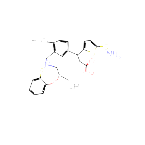 CCC1CN(Cc2cc(C(CC(=O)O)c3ccc(SN)s3)ccc2C)Sc2ccccc2O1